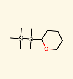 C[Si](C)(C)[Si](C)(C)C1CCCCO1